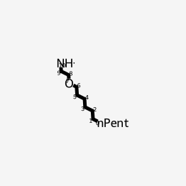 CCCCCCCCCCCOCC[NH]